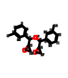 Cc1cccc(C(OC(c2cccc(C)c2)C2CO2)C2CO2)c1